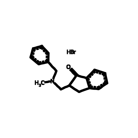 Br.CN(Cc1ccccc1)CC1Cc2ccccc2C1=O